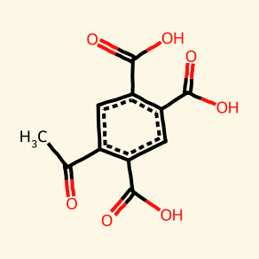 CC(=O)c1cc(C(=O)O)c(C(=O)O)cc1C(=O)O